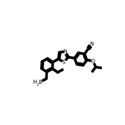 BCc1cccc(-c2cnc(-c3ccc(OC(C)C)c(C#N)c3)s2)c1CC